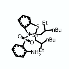 CCCCC(CC)[CH2][Sn]1([CH2]C(CC)CCCC)[S]c2ccccc2[N]1S(=O)(=O)c1ccccc1N